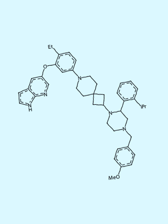 CCc1ccc(N2CCC3(CC2)CC(N2CCN(Cc4ccc(OC)cc4)CC2c2ccccc2C(C)C)C3)cc1Oc1cnc2[nH]ccc2c1